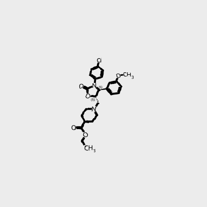 CCOC(=O)C1CCN(C[C@@H]2OC(=O)N(c3ccc(Cl)cc3)[C@H]2c2cccc(OC)c2)CC1